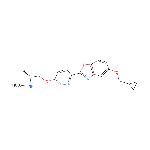 C[C@@H](COc1ccc(-c2nc3cc(OCC4CC4)ccc3o2)nc1)NC(=O)O